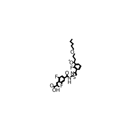 CCCCCOCCCC(OC)c1cccc(-c2csc(NC(=O)c3cc(F)c(C=C(C)C(=O)O)c(F)c3)n2)c1F